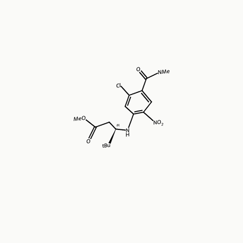 CNC(=O)c1cc([N+](=O)[O-])c(N[C@H](CC(=O)OC)C(C)(C)C)cc1Cl